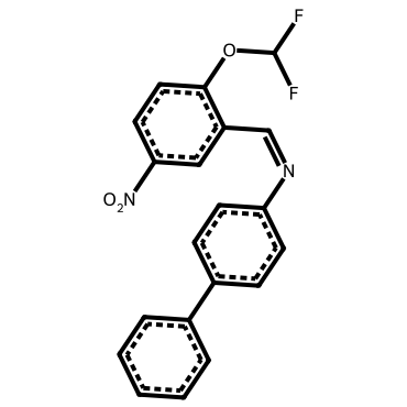 O=[N+]([O-])c1ccc(OC(F)F)c(/C=N\c2ccc(-c3ccccc3)cc2)c1